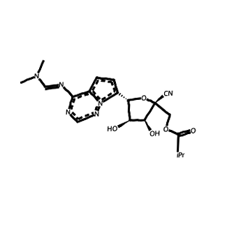 CC(C)C(=O)OC[C@@]1(C#N)O[C@@H](c2ccc3c(/N=C/N(C)C)ncnn23)[C@H](O)[C@@H]1O